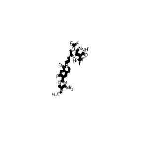 COc1cnc(-c2cc3ccn(CCC[C@H](COC(F)F)Nc4cn[nH]c(=O)c4C(F)(F)F)c(=O)c3cc2F)nc1N